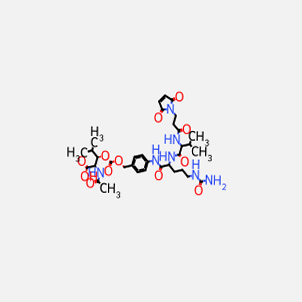 CC(=O)N[C@H](C(=O)O)[C@H](OC(=O)OCc1ccc(NC(=O)C(CCCNC(N)=O)NC(=O)C(NC(=O)CCN2C(=O)C=CC2=O)C(C)C)cc1)C(C)C